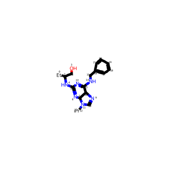 CCC(CO)NC1=NC2C(N=CN2C(C)C)C(NCc2ccccc2)=N1